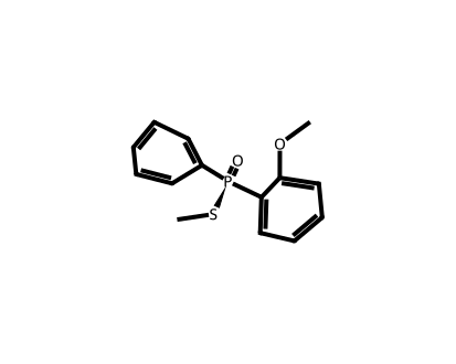 COc1ccccc1[P@](=O)(SC)c1ccccc1